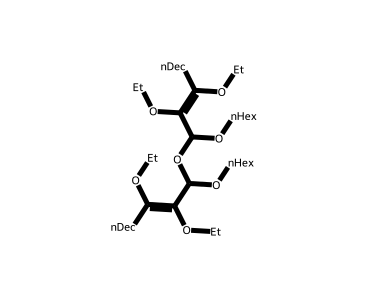 CCCCCCCCCCC(OCC)=C(OCC)C(OCCCCCC)OC(OCCCCCC)C(OCC)=C(CCCCCCCCCC)OCC